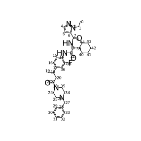 CCn1nccc1C(=O)NC(C(=O)Nc1ccc(C(C)CC(=O)N2CCN(Cc3ccccc3)CC2)cc1F)C1CCCCC1